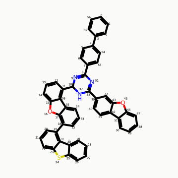 c1ccc(-c2ccc(C3=NC(c4cccc5oc6c(-c7cccc8sc9ccccc9c78)cccc6c45)NC(c4ccc5c(c4)oc4ccccc45)=N3)cc2)cc1